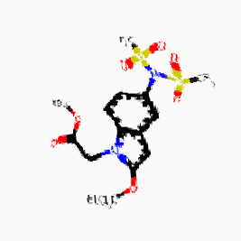 CCOC(=O)Oc1cc2cc(N(S(=O)(=O)C(F)(F)F)S(=O)(=O)C(F)(F)F)ccc2n1CC(=O)OC(C)(C)C